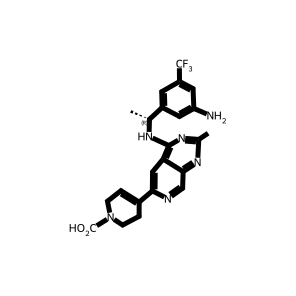 Cc1nc(N[C@H](C)c2cc(N)cc(C(F)(F)F)c2)c2cc(C3=CCN(C(=O)O)CC3)ncc2n1